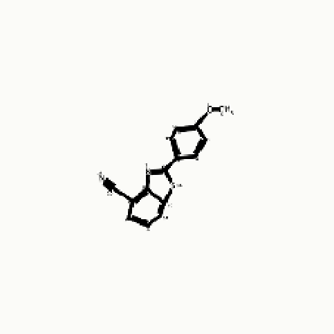 COc1ccc(-c2nc3c(C#N)cccc3s2)cc1